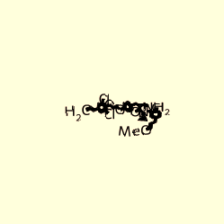 C=CCc1cc(Cl)c(OCCOc2ccc(CC(CN)C(=O)N(Cc3cc(CCCOC)ccc3Cl)C3CC3)cc2)c(Cl)c1